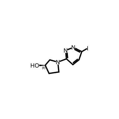 O[C@@H]1CCN(c2ccc(I)nn2)C1